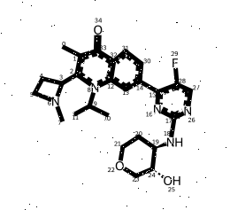 Cc1c(C2CCN2C)n(C(C)C)c2cc(-c3nc(N[C@@H]4CCOC[C@H]4O)ncc3F)ccc2c1=O